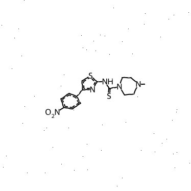 CN1CCN(C(=S)Nc2nc(-c3ccc([N+](=O)[O-])cc3)cs2)CC1